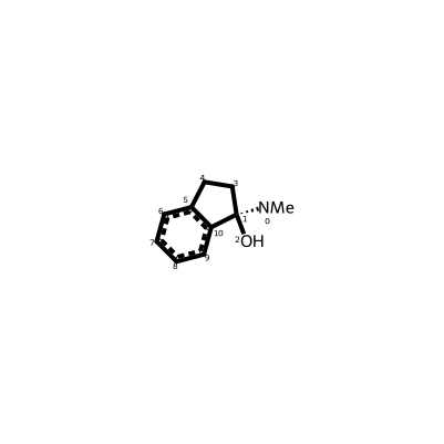 CN[C@@]1(O)CCc2ccccc21